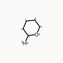 [2H]C1CCCCO1